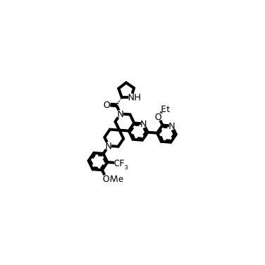 CCOc1ncccc1-c1ccc2c(n1)CN(C(=O)[C@@H]1CCCN1)CC21CCN(c2cccc(OC)c2C(F)(F)F)CC1